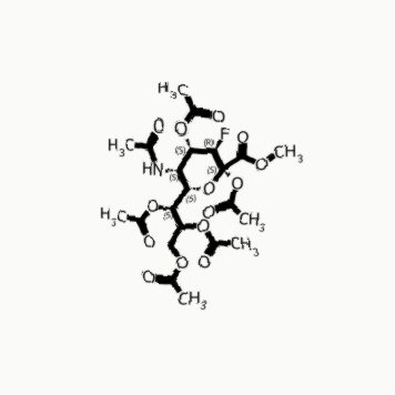 COC(=O)[C@@]1(OC(C)=O)O[C@H]([C@H](OC(C)=O)C(COC(C)=O)OC(C)=O)[C@H](NC(C)=O)[C@H](OC(C)=O)[C@H]1F